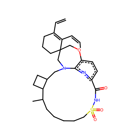 C=CC1=C(/C=C\C)C2(CCC1)COc1ccc3nc1N(CC1CCC1C(C)CCCCCS(=O)(=O)NC3=O)C2